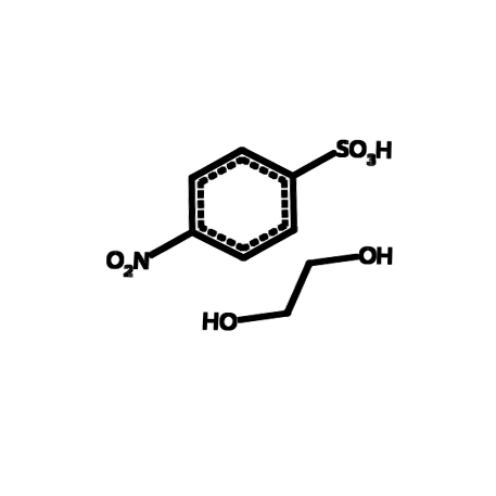 O=[N+]([O-])c1ccc(S(=O)(=O)O)cc1.OCCO